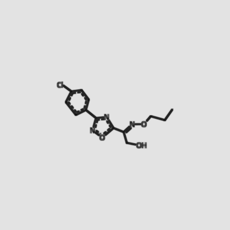 CCCON=C(CO)c1nc(-c2ccc(Cl)cc2)no1